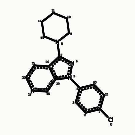 Clc1ccc(-n2nc(N3CCCCC3)c3ccncc32)cc1